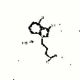 CCN(CC)CCCn1nc(N)c2c(Cl)cccc21.Cl.Cl